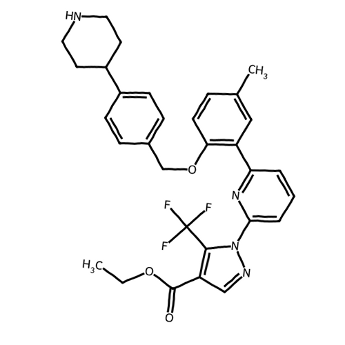 CCOC(=O)c1cnn(-c2cccc(-c3cc(C)ccc3OCc3ccc(C4CCNCC4)cc3)n2)c1C(F)(F)F